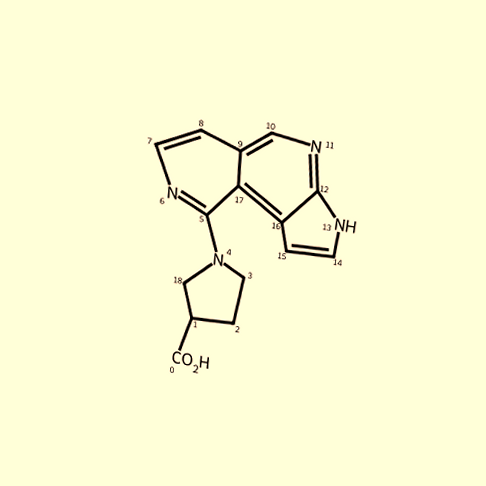 O=C(O)C1CCN(c2nccc3cnc4[nH]ccc4c23)C1